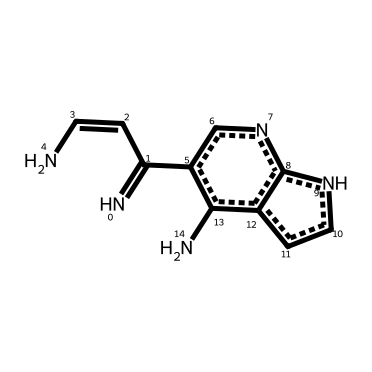 N=C(/C=C\N)c1cnc2[nH]ccc2c1N